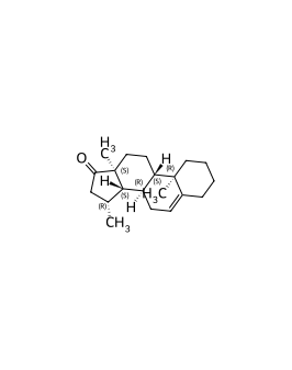 C[C@@H]1CC(=O)[C@@]2(C)CC[C@H]3[C@@H](CC=C4CCCC[C@@]43C)[C@H]12